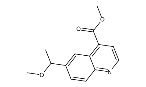 COC(=O)c1ccnc2ccc(C(C)OC)cc12